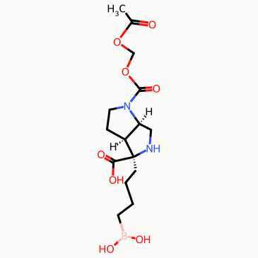 CC(=O)OCOC(=O)N1CC[C@H]2[C@@H]1CN[C@@]2(CCCCB(O)O)C(=O)O